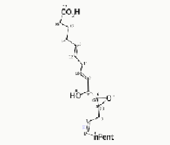 CCCCC/C=C\C[C@@H]1O[C@H]1C(O)C=CCC=CCCCC(=O)O